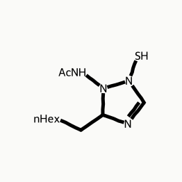 CCCCCCCC1N=CN(S)N1NC(C)=O